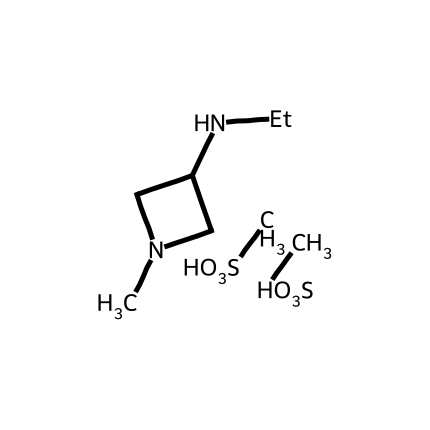 CCNC1CN(C)C1.CS(=O)(=O)O.CS(=O)(=O)O